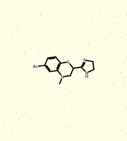 CC(=O)c1ccc2c(c1)N(C)CC(C1=NCCN1)S2